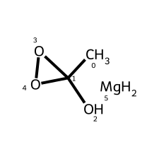 CC1(O)OO1.[MgH2]